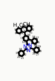 CC1(C)c2ccccc2C(c2ccc(-c3nc(-c4ccccc4)nc(-c4ccccc4)n3)c(-c3ccccc3)c2)c2ccccc21